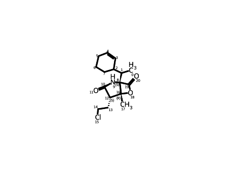 CC(C1C=CCCC1)[C@]12NC(=O)[C@@H](CCCl)[C@@]1(C)OC2=O